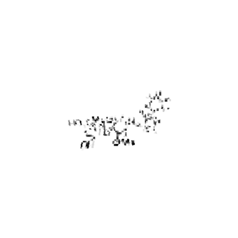 COc1cc(/C=C/c2cccc(-c3ccccc3)c2C)cc(OC)c1CNC(CCO)C(=O)O